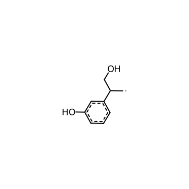 [CH2]C(CO)c1cccc(O)c1